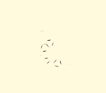 COc1ccc(-c2csc(NC(=O)/C=C\c3ccccc3OCC(F)F)n2)cc1